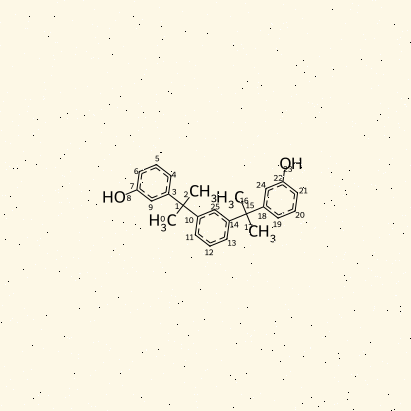 CC(C)(c1cccc(O)c1)c1cccc(C(C)(C)c2cccc(O)c2)c1